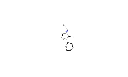 CC1=NN(c2ccccc2)C(=O)/C1=C/N